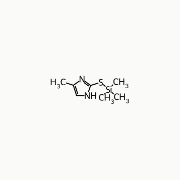 Cc1c[nH]c(S[Si](C)(C)C)n1